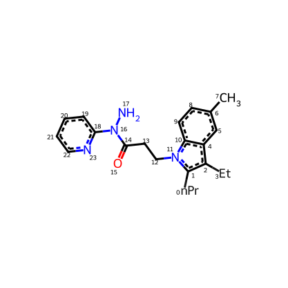 CCCc1c(CC)c2cc(C)ccc2n1CCC(=O)N(N)c1ccccn1